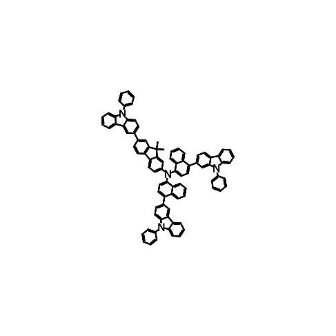 CC1(C)c2cc(-c3ccc4c(c3)c3ccccc3n4-c3ccccc3)ccc2-c2ccc(N(c3ccc(-c4ccc5c(c4)c4ccccc4n5-c4ccccc4)c4ccccc34)c3ccc(-c4ccc5c6ccccc6n(-c6ccccc6)c5c4)c4ccccc34)cc21